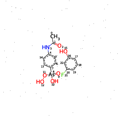 CC(=O)Nc1ccc([As](=O)(O)OO)cc1.Oc1cccc(F)c1